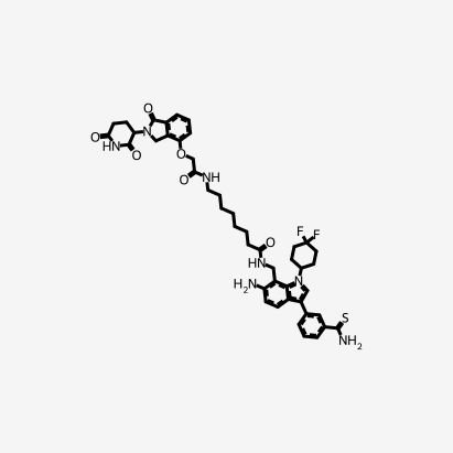 NC(=S)c1cccc(-c2cn(C3CCC(F)(F)CC3)c3c(CNC(=O)CCCCCCCNC(=O)COc4cccc5c4CN(C4CCC(=O)NC4=O)C5=O)c(N)ccc23)c1